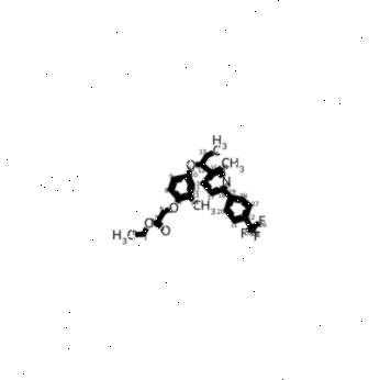 CCOC(=O)COc1ccc(OC(CC)c2ccc(-c3ccc(C(F)(F)F)cc3)nc2C)cc1C